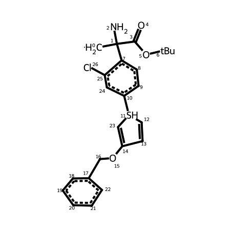 [CH2]C(N)(C(=O)OC(C)(C)C)c1ccc([SH]2C=CC(OCc3ccccc3)=C2)cc1Cl